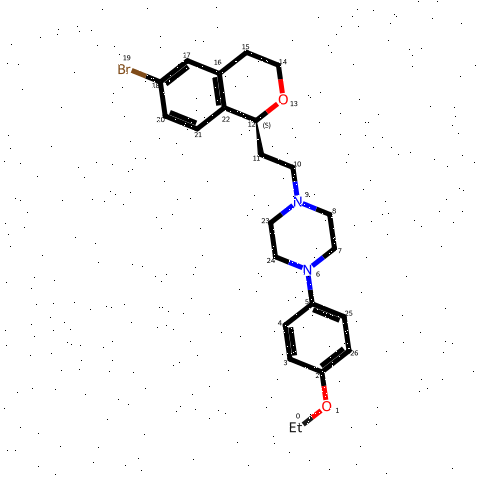 CCOc1ccc(N2CCN(CC[C@@H]3OCCc4cc(Br)ccc43)CC2)cc1